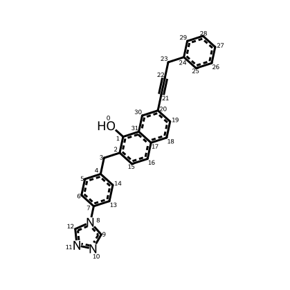 Oc1c(Cc2ccc(-n3cnnc3)cc2)ccc2ccc(C#CCc3ccccc3)cc12